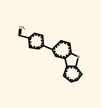 C=Cc1ccc(-c2ccc3c(c2)-c2ccccc2[N]3)cc1